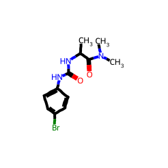 CC(NC(=O)Nc1ccc(Br)cc1)C(=O)N(C)C